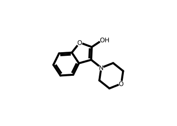 Oc1oc2ccccc2c1N1CCOCC1